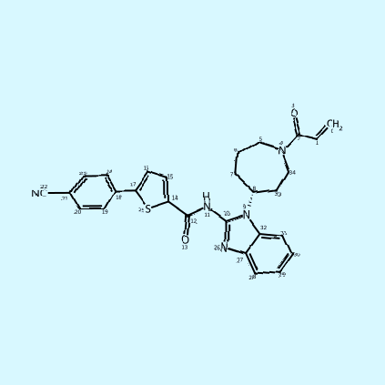 C=CC(=O)N1CCC[C@@H](n2c(NC(=O)c3ccc(-c4ccc(C#N)cc4)s3)nc3ccccc32)CC1